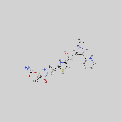 CC(C)[C@@H](OC(N)=O)C(=O)n1cc(-c2nc(C(=O)Nc3cn(C)nc3-c3ccccn3)cs2)cn1